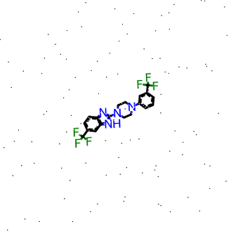 FC(F)(F)c1cccc(N2CCN(c3nc4ccc(C(F)(F)F)cc4[nH]3)CC2)c1